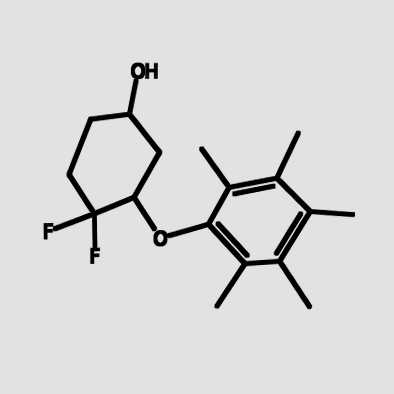 Cc1c(C)c(C)c(OC2CC(O)CCC2(F)F)c(C)c1C